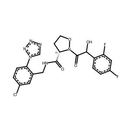 O=C(NCc1cc(Cl)ccc1-n1cnnn1)[C@@H]1CCON1C(=O)C(O)c1ccc(F)cc1F